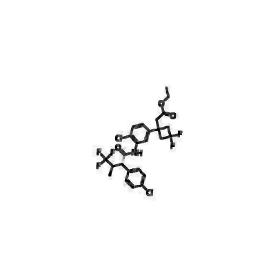 CCOC(=O)CC1(c2ccc(Cl)c(NC(=O)[C@H](c3ccc(Cl)cc3)[C@@H](C)C(F)(F)F)c2)CC(F)(F)C1